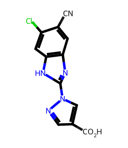 N#Cc1cc2nc(-n3cc(C(=O)O)cn3)[nH]c2cc1Cl